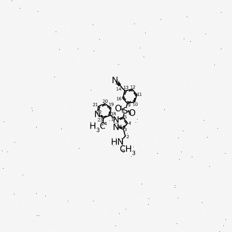 CNCc1cc(S(=O)(=O)c2cccc(C#N)c2)n(-c2cccnc2C)n1